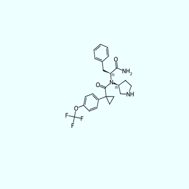 NC(=O)[C@H](Cc1ccccc1)N(C(=O)C1(c2ccc(OC(F)(F)F)cc2)CC1)[C@H]1CCNC1